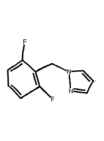 Fc1cccc(F)c1Cn1c[c]cn1